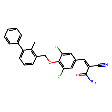 Cc1c(COc2c(Cl)cc(C=C(C#N)C(N)=O)cc2Cl)cccc1-c1ccccc1